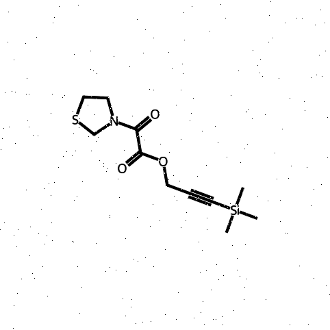 C[Si](C)(C)C#CCOC(=O)C(=O)N1CCSC1